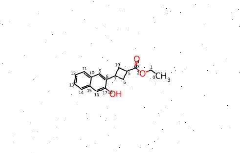 CCOC(=O)C1CC(c2cc3ccccc3cc2O)C1